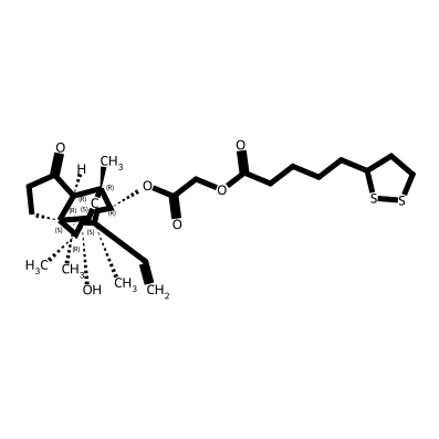 C=C[C@]1(C)C[C@@H](OC(=O)COC(=O)CCCCC2CCSS2)[C@]2(C)CC[C@@H](C)[C@@]3(CCC(=O)[C@@H]23)[C@@H](C)[C@@H]1O